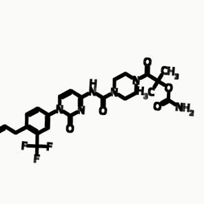 CC(C)(OC(N)=O)C(=O)N1CCN(C(=O)Nc2ccn(-c3ccc(CC=O)c(C(F)(F)F)c3)c(=O)n2)CC1